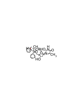 CC1=CN([C@H]2CC(O)[C@@H](CO[Si](c3ccccc3)(c3ccccc3)C(C)(C)C)O2)C(O)NC1=O